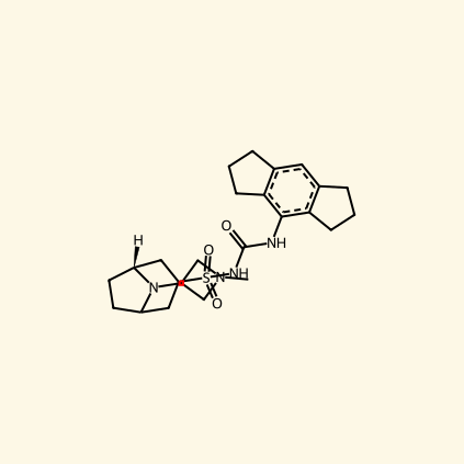 CN1CC(N2C3CC[C@@H]2CC(S(=O)(=O)NC(=O)Nc2c4c(cc5c2CCC5)CCC4)C3)C1